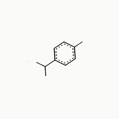 CCCCCCCCCC(CC)c1ccc(S(=O)(=O)O)cc1.[CaH2]